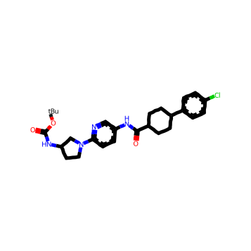 CC(C)(C)OC(=O)NC1CCN(c2ccc(NC(=O)C3CCC(c4ccc(Cl)cc4)CC3)cn2)C1